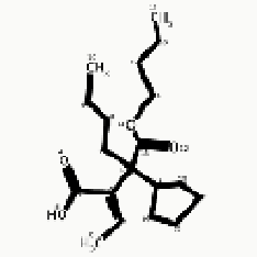 CC=C(C(=O)O)C(CCCC)(C(=O)OCCCC)C1CCCC1